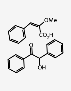 COC(=Cc1ccccc1)C(=O)O.O=C(c1ccccc1)C(O)c1ccccc1